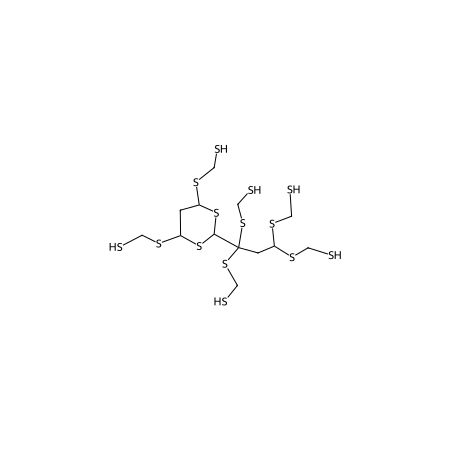 SCSC(CC(SCS)(SCS)C1SC(SCS)CC(SCS)S1)SCS